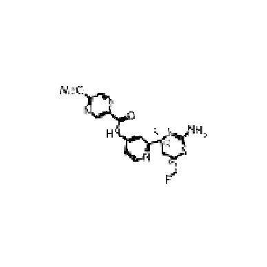 COc1cnc(C(=O)Nc2ccnc([C@]3(C)C[C@@H](CF)SC(N)=N3)c2)cn1